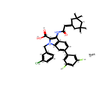 CC1(C)CC(=CC(=O)Nc2c(C(=O)O)n(Cc3cccc(Cl)c3)c3cc(-c4cc(F)cc(F)c4)ccc23)CC(C)(C)C1.[NaH]